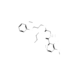 CCCC[C@@H]([C@H](C)OC(=O)[C@H](C)NC(=O)c1nccc(OC)c1O)[C@@H](CC)Oc1ccccc1